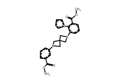 COC(=O)c1cccc(N2CC3(C2)CN(c2cccc(C(=O)OC)c2-n2cccc2)C3)c1